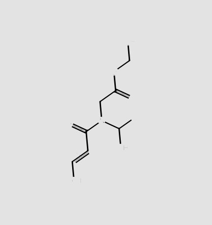 C/C=C/C(=O)N(CC(=O)OCC)C(C)C